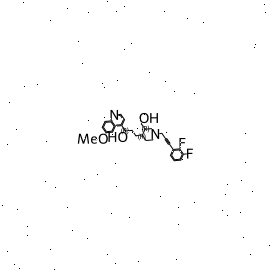 COc1ccc2nccc([C@H](O)CC[C@@H]3CCN(CC#Cc4cccc(F)c4F)C[C@@H]3CO)c2c1